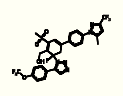 Cc1cc(C(F)(F)F)nn1-c1ccc(C2=CC(S(C)(=O)=O)=C(CO)C(F)(n3nncc3-c3ccc(OC(F)(F)F)cc3)C2)cc1